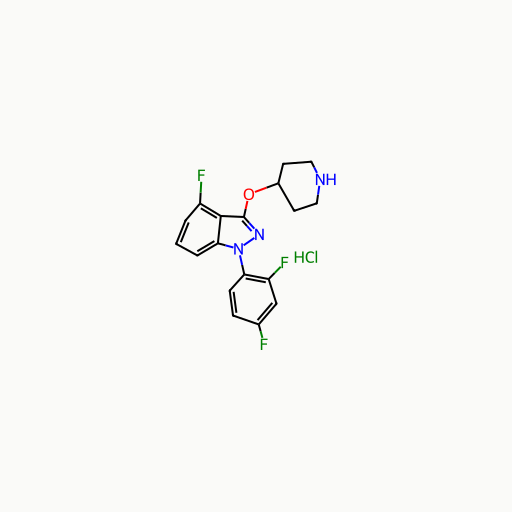 Cl.Fc1ccc(-n2nc(OC3CCNCC3)c3c(F)cccc32)c(F)c1